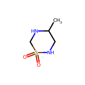 CC1CNS(=O)(=O)CN1